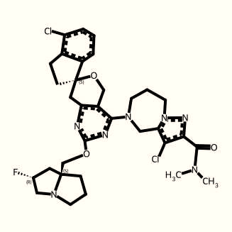 CN(C)C(=O)c1nn2c(c1Cl)CN(c1nc(OC[C@@]34CCCN3C[C@H](F)C4)nc3c1CO[C@@]1(CCc4c(Cl)cccc41)C3)CCC2